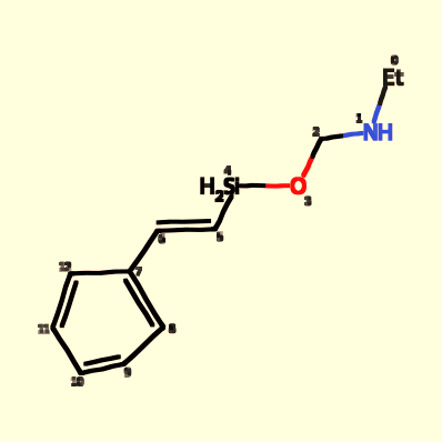 CCNCO[SiH2]C=Cc1ccccc1